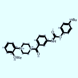 CCCCc1ccc(OC(=O)Nc2cccc(C(=O)N3CCN(c4ccccc4OC)CC3)c2)cc1